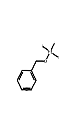 [I][Hf]([I])([I])[O]Cc1ccccc1